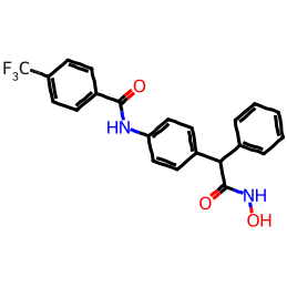 O=C(Nc1ccc(C(C(=O)NO)c2ccccc2)cc1)c1ccc(C(F)(F)F)cc1